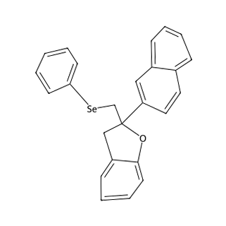 c1ccc([Se]CC2(c3ccc4ccccc4c3)Cc3ccccc3O2)cc1